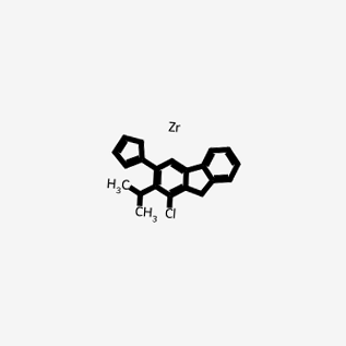 CC(C)c1c(C2=CC=CC2)cc2c(c1Cl)Cc1ccccc1-2.[Zr]